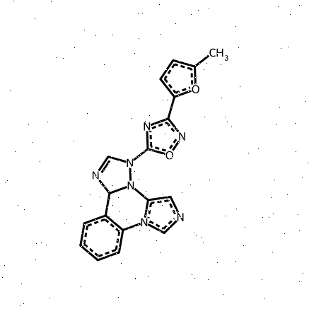 Cc1ccc(-c2noc(N3C=NC4c5ccccc5-n5cncc5N43)n2)o1